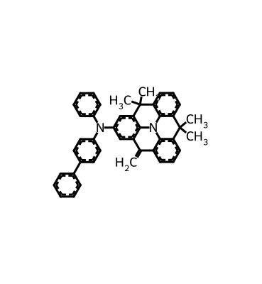 C=C1c2cccc3c2N2c4c1cc(N(c1ccccc1)c1ccc(-c5ccccc5)cc1)cc4C(C)(C)c1cccc(c12)C3(C)C